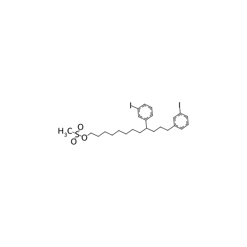 CS(=O)(=O)OCCCCCCCCC(CCCc1cccc(I)c1)c1cccc(I)c1